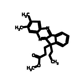 CCCC1(CCC(=O)OC)c2ccccc2-c2nc3cc(C)c(C)cc3nc21